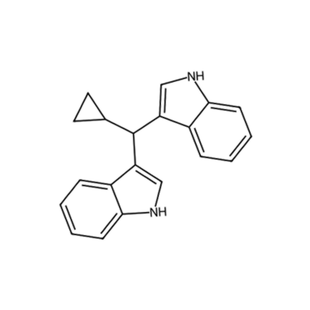 c1ccc2c(C(c3c[nH]c4ccccc34)C3CC3)c[nH]c2c1